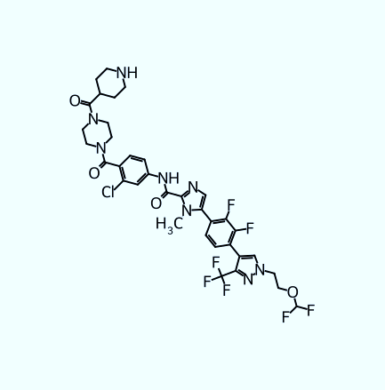 Cn1c(-c2ccc(-c3cn(CCOC(F)F)nc3C(F)(F)F)c(F)c2F)cnc1C(=O)Nc1ccc(C(=O)N2CCN(C(=O)C3CCNCC3)CC2)c(Cl)c1